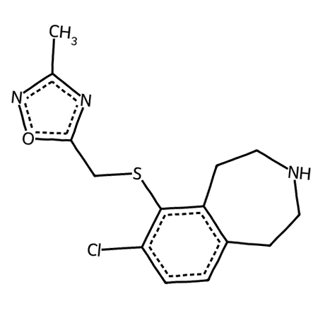 Cc1noc(CSc2c(Cl)ccc3c2CCNCC3)n1